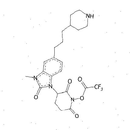 Cn1c(=O)n(C2CCC(=O)N(OC(=O)C(F)(F)F)C2=O)c2ccc(CCCC3CCNCC3)cc21